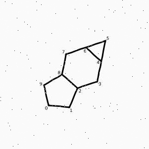 C1CC2CC3CC3CC2C1